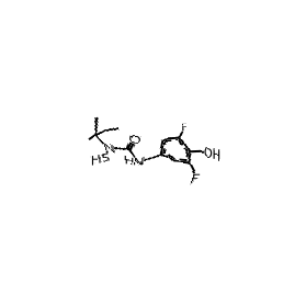 CC(C)(C)N(S)C(=O)Nc1cc(F)c(O)c(F)c1